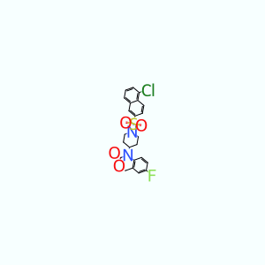 O=C1OCc2cc(F)ccc2N1C1CCN(S(=O)(=O)c2ccc3c(Cl)cccc3c2)CC1